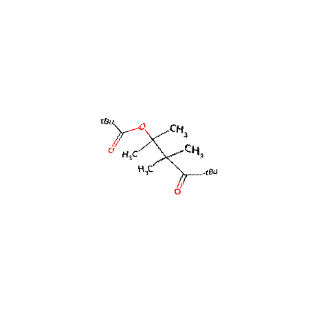 CC(C)(C)C(=O)OC(C)(C)C(C)(C)C(=O)C(C)(C)C